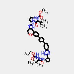 COC(=O)N[C@H](C(=O)N[C@H]1CCC[C@@H]1c1nc2ccc(-c3ccc(-c4ccc5c(c4)OCCc4nc([C@@H]6CCCN6C(=O)[C@@H](NC(=O)OC)C(C)C)[nH]c4-5)cc3)cc2[nH]1)C(C)C